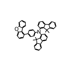 CC1(C)c2ccccc2-c2cccc(N(c3ccc(-c4cccc5oc6ccccc6c45)cc3)c3cccc4c3C(C)(C)c3ccccc3-4)c21